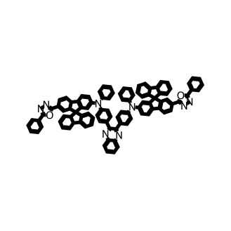 C1=CC2c3ccccc3C3(c4cc(N(c5ccccc5)c5ccc(-c6nc7ccccc7nc6-c6ccc(N(c7ccccc7)c7ccc8c(c7)C7(c9ccccc9-c9ccccc97)c7cc(-c9nnc(-c%10ccccc%10)o9)ccc7-8)cc6)cc5)ccc4C4C=CC(c5nnc(-c6ccccc6)o5)=CC43)C2C=C1